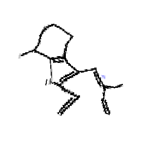 C=C/C(C)=C\c1c(C=C)[nH]c2c1CCCC2I